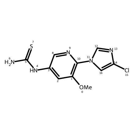 COc1cc(NC(N)=S)cnc1-n1cnc(Cl)c1